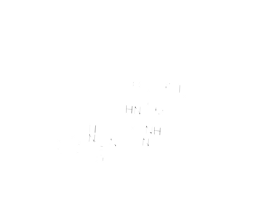 Cc1ccoc1C(=O)Nc1[nH]nc2c1CN(C(=O)Nc1ccccc1)C2